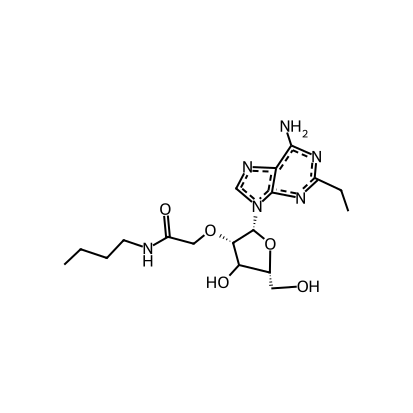 CCCCNC(=O)CO[C@H]1C(O)[C@@H](CO)O[C@H]1n1cnc2c(N)nc(CC)nc21